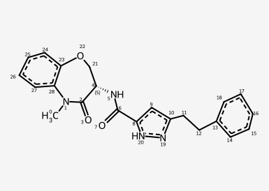 CN1C(=O)[C@@H](NC(=O)c2cc(CCc3ccccc3)n[nH]2)COc2ccccc21